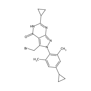 Cc1cc(C2CC2)cc(C)c1-n1nc2nc(C3CC3)[nH]c(=O)c2c1CBr